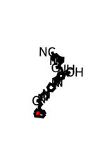 CC(C)(O)c1cc2nn(C3CCC(N4CCN(C(=O)/C=C/C56CC7CC(CC(C7)C5)C6)CC4)CC3)cc2cc1NC(=O)c1ccc2cc(C#N)cnn12